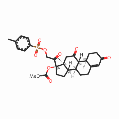 COC(=O)O[C@]1(C(=O)COS(=O)(=O)c2ccc(C)cc2)CC[C@H]2[C@@H]3CCC4=CC(=O)CC[C@]4(C)[C@H]3C(=O)C[C@@]21C